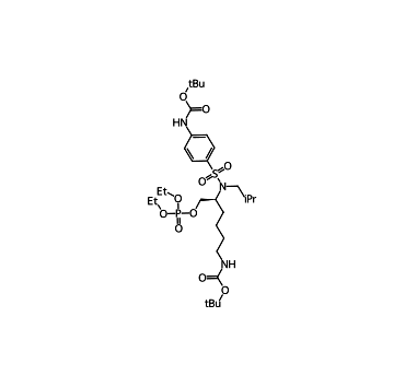 CCOP(=O)(OCC)OC[C@H](CCCCNC(=O)OC(C)(C)C)N(CC(C)C)S(=O)(=O)c1ccc(NC(=O)OC(C)(C)C)cc1